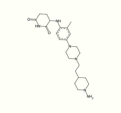 Cc1cc(N2CCN(CCC3CCN(N)CC3)CC2)ccc1NC1CCC(=O)NC1=O